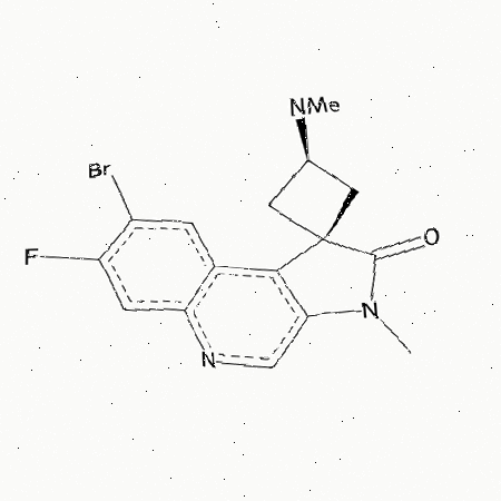 CN[C@H]1C[C@@]2(C1)C(=O)N(C)c1cnc3cc(F)c(Br)cc3c12